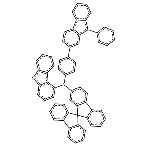 c1ccc(-n2c3ccccc3c3ccc(-c4ccc(N(c5ccc6c(c5)C5(c7ccccc7-c7ccccc75)c5ccccc5-6)c5cccc6sc7ccccc7c56)cc4)cc32)cc1